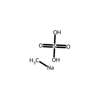 O=S(=O)(O)O.[CH3][Na]